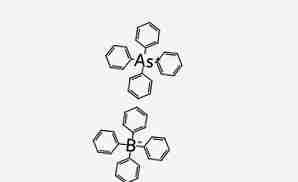 c1ccc([As+](c2ccccc2)(c2ccccc2)c2ccccc2)cc1.c1ccc([B-](c2ccccc2)(c2ccccc2)c2ccccc2)cc1